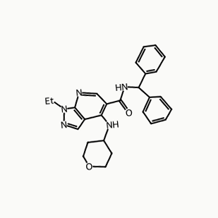 CCn1ncc2c(NC3CCOCC3)c(C(=O)NC(c3ccccc3)c3ccccc3)cnc21